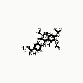 CCOc1cc(C(Nc2ccc(C(=N)N)cc2)C(=O)N(N)CC)ccc1OC(C)C